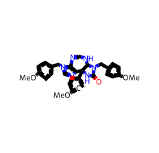 COc1ccc(CN2C(=O)NC3(c4ccc(OC)cc4)c4ncn(Cc5ccc(OC)cc5)c4N=CNC23)cc1